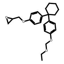 CCOCOc1ccc(C2(c3ccc(OCC4CO4)cc3)CCCCC2)cc1